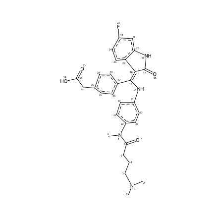 CN(C)CCCC(=O)N(C)c1ccc(N/C(=C2\C(=O)Nc3cc(F)ccc32)c2ccc(CC(=O)O)cc2)cc1